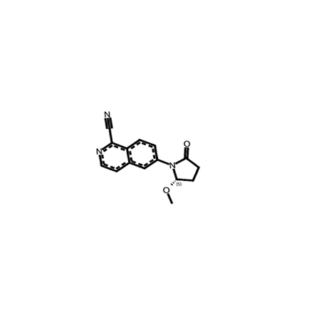 CO[C@H]1CCC(=O)N1c1ccc2c(C#N)nccc2c1